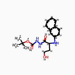 CC(C)(C)OC(=O)NNC(=O)C(CCO)Nc1ccc2ccccc2c1